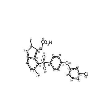 CC1N=c2ccc(F)c(S(=O)(=O)c3ccc(Oc4cccc(Cl)c4)cc3)c2=C1CC(=O)O